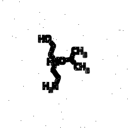 CC(C)O.NCCNCCO